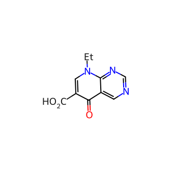 CCn1cc(C(=O)O)c(=O)c2cncnc21